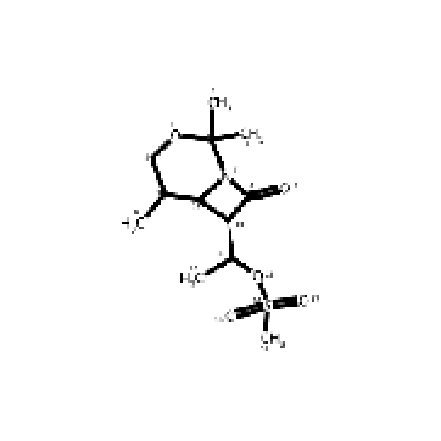 CC1COC(C)(C)N2C(=O)[C@@H](C(C)OS(C)(=O)=O)C12